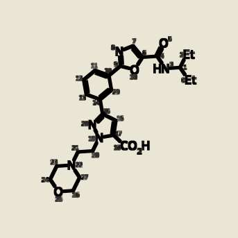 CCC(CC)NC(=O)c1cnc(-c2cccc(-c3cc(C(=O)O)n(CCN4CCOCC4)n3)c2)o1